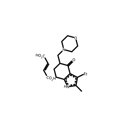 CCc1c(C)[nH]c2c1C(=O)C(CN1CCOCC1)CC2.O=C(O)/C=C/C(=O)O